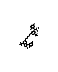 Cc1ccc(C)c(C2C(=O)Cc3c2cc(CCCCCc2cc4c(c(C(C)(C)C)c2)OC(=O)C4c2cc(C)ccc2C)cc3C(C)(C)C)c1